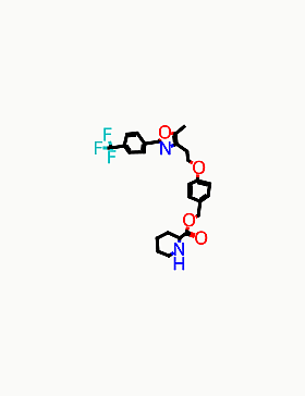 Cc1oc(-c2ccc(C(F)(F)F)cc2)nc1CCOc1ccc(COC(=O)C2CCCCN2)cc1